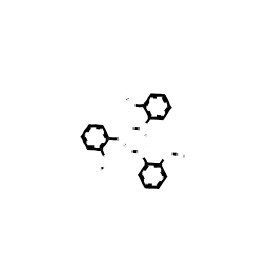 CCCOc1ccccc1B1OB(c2ccccc2OCCC)OB(c2ccccc2OCCC)O1